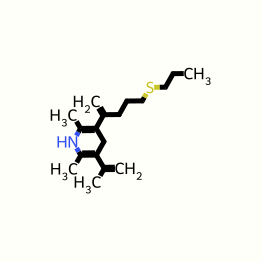 C=C(C)C1=C(C)NC(C)=C(C(=C)CCCSCCC)C1